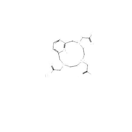 CC(=O)CN1CCN(CC(=O)O)Cc2cccc(n2)CN(CC(=O)O)CC1